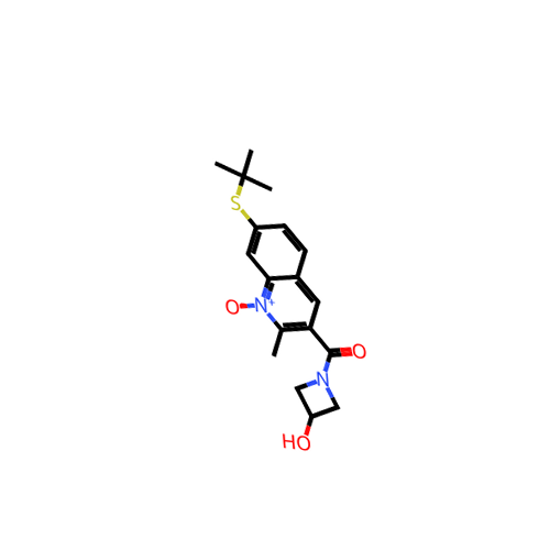 Cc1c(C(=O)N2CC(O)C2)cc2ccc(SC(C)(C)C)cc2[n+]1[O-]